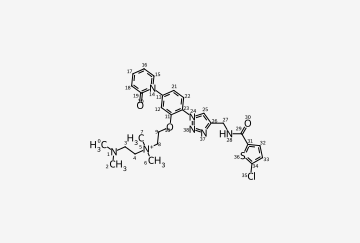 CN(C)CC[N+](C)(C)CCOc1cc(-n2ccccc2=O)ccc1-n1cc(CNC(=O)c2ccc(Cl)s2)nn1